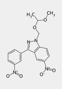 COC(C)OCn1nc(-c2cccc([N+](=O)[O-])c2)c2cc([N+](=O)[O-])ccc21